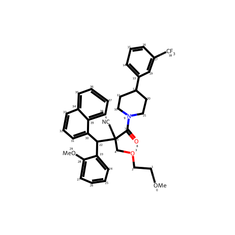 COCCOCC(C#N)(C(=O)N1CCC(c2cccc(C(F)(F)F)c2)CC1)C(c1ccccc1OC)c1cccc2ccccc12